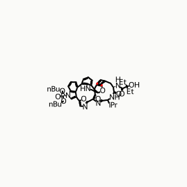 CCCCOP(=O)(OCCCC)n1cc2c3c(cccc31)-c1cccc3c1NC1Oc4ccc5cc4C31c1oc(nc1-c1ncc-2o1)C(C(C)C)NC(=O)[C@@H](NC(=O)C(O)(CC)CC)C5